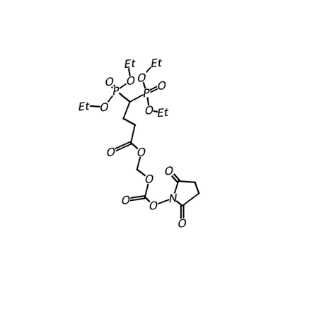 CCOP(=O)(OCC)C(CCC(=O)OCOC(=O)ON1C(=O)CCC1=O)P(=O)(OCC)OCC